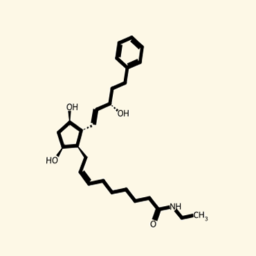 CCNC(=O)CCCCC/C=C\C[C@@H]1[C@@H](/C=C/[C@@H](O)CCc2ccccc2)[C@H](O)C[C@@H]1O